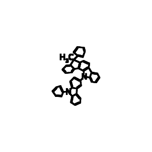 CC1(c2ccccc2)c2ccccc2-c2c1ccc1c3ccccc3n(-c3ccc4c(c3)c3ccccc3n4-c3ccccc3)c21